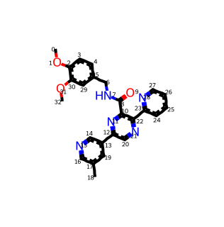 COc1ccc(CNC(=O)c2nc(-c3cncc(C)c3)cnc2-c2ccccn2)cc1OC